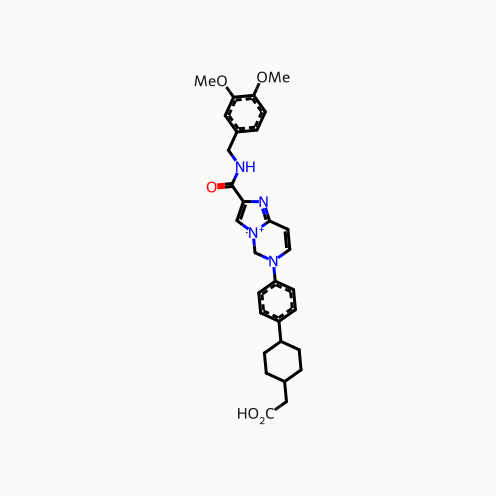 COc1ccc(CNC(=O)C2=C[N+]3CN(c4ccc(C5CCC(CC(=O)O)CC5)cc4)C=CC3=N2)cc1OC